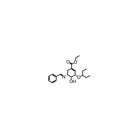 CCOC(=O)C1=C[C@@H](OC(CC)CC)[C@@H](O)[C@H](N=Cc2ccccc2)C1